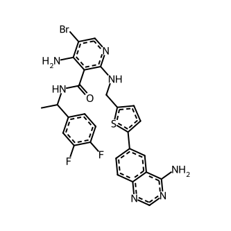 CC(NC(=O)c1c(NCc2ccc(-c3ccc4ncnc(N)c4c3)s2)ncc(Br)c1N)c1ccc(F)c(F)c1